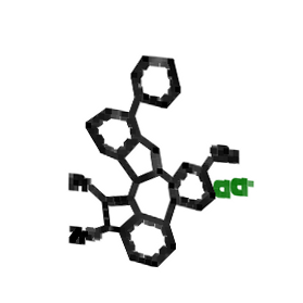 CC1=Cc2c(-c3ccccc3)cccc2C1C1=C(C(C)C)[CH]([Zr+2])c2cccc(-c3ccc(C(C)(C)C)cc3)c21.[Cl-].[Cl-]